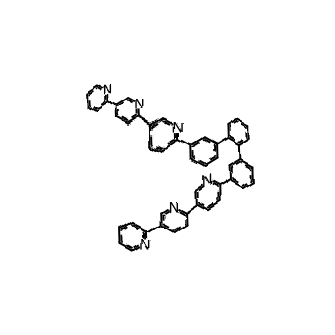 c1ccc(-c2ccc(-c3ccc(-c4cccc(-c5ccccc5-c5cccc(-c6ccc(-c7ccc(-c8ccccn8)cn7)cn6)c5)c4)nc3)nc2)nc1